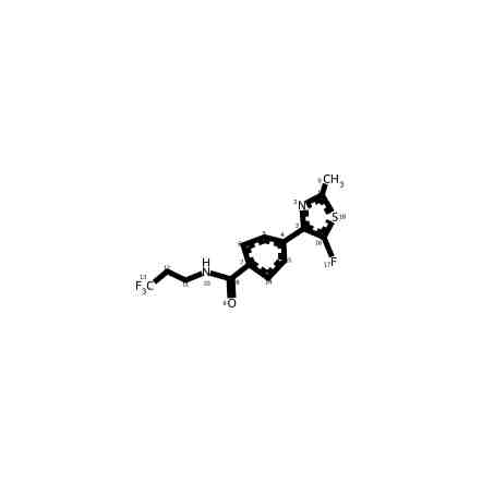 Cc1nc(-c2ccc(C(=O)NCCC(F)(F)F)cc2)c(F)s1